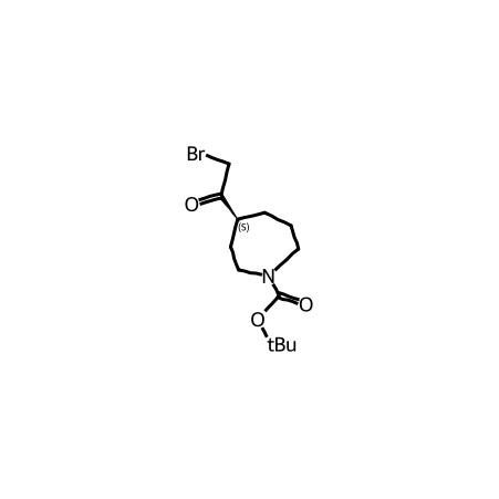 CC(C)(C)OC(=O)N1CCC[C@H](C(=O)CBr)CC1